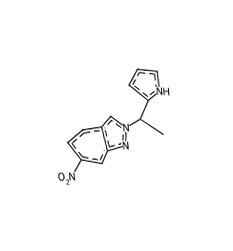 CC(c1ccc[nH]1)n1cc2ccc([N+](=O)[O-])cc2n1